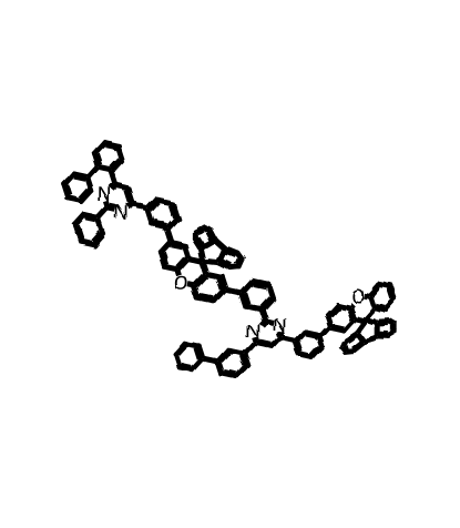 c1ccc(-c2cccc(-c3cc(-c4cccc(-c5ccc6c(c5)C5(c7ccccc7O6)c6ccccc6-c6ccccc65)c4)nc(-c4cccc(-c5ccc6c(c5)C5(c7cc(-c8cccc(-c9cc(-c%10ccccc%10-c%10ccccc%10)nc(-c%10ccccc%10)n9)c8)ccc7O6)c6ccccc6-c6ccccc65)c4)n3)c2)cc1